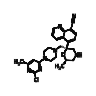 Cc1cc(N2CCN(C[C@]3(c4ccc(C#N)c5ncccc45)CNC[C@@H](C)O3)CC2)nc(Cl)n1